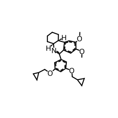 COc1cc2c(cc1OC)[C@H]1CCCC[C@H]1N=C2c1cc(OCC2CC2)cc(OCC2CC2)c1